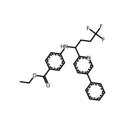 CCOC(=O)c1ccc(NC(CCC(F)(F)F)c2ccc(-c3ccccc3)cn2)cc1